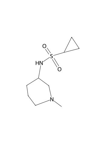 CN1CCCC(NS(=O)(=O)C2CC2)C1